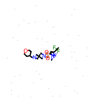 Cn1nc(C(C)(F)F)cc1S(=O)(=O)N1CC2(CN(CC3CCOCC3)C2)C1